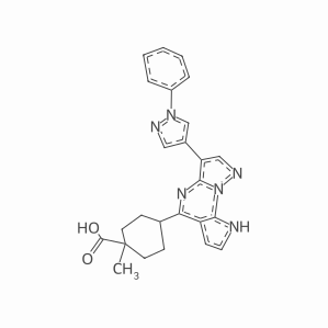 CC1(C(=O)O)CCC(c2nc3c(-c4cnn(-c5ccccc5)c4)cnn3c3[nH]ccc23)CC1